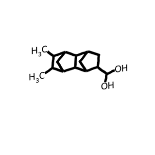 CC1C(C)C2CC1C1C3CC(C(O)O)C(C3)C21